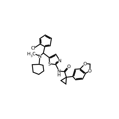 CN(C1CCCCC1)C(c1cnc(NC(=O)C2(c3ccc4c(c3)OCO4)CC2)s1)c1ccccc1Cl